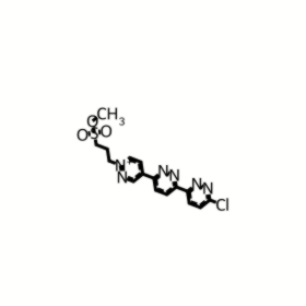 COS(=O)(=O)CCC[n+]1ccc(-c2ccc(-c3ccc(Cl)nn3)nn2)cn1